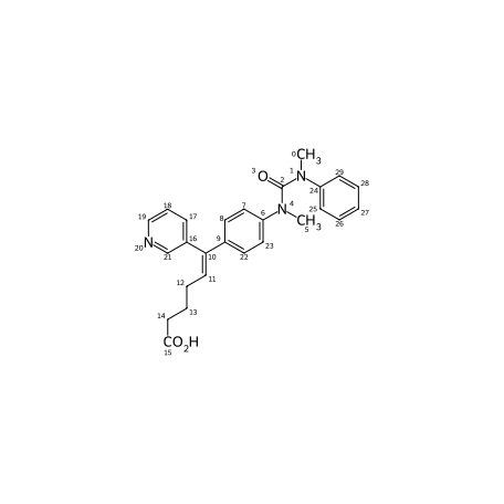 CN(C(=O)N(C)c1ccc(/C(=C/CCCC(=O)O)c2cccnc2)cc1)c1ccccc1